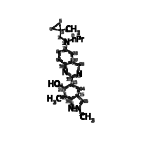 CCCN(CC1(C)CC1)c1ccc2nc(-c3cc4cn(C)nc4c(C)c3O)ncc2c1